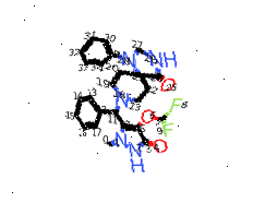 Cn1[nH]c(=O)c(OC(F)F)c1C(c1ccccc1)N1CCC2(CC1)C(=O)NCN2c1ccccc1